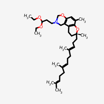 CCOC(CCN1COc2cc(C)c3c(c2C1)CC[C@@](C)(CC/C=C(\C)CC/C=C(\C)CCC=C(C)C)O3)OCC